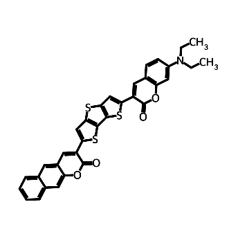 CCN(CC)c1ccc2cc(-c3cc4sc5cc(-c6cc7cc8ccccc8cc7oc6=O)sc5c4s3)c(=O)oc2c1